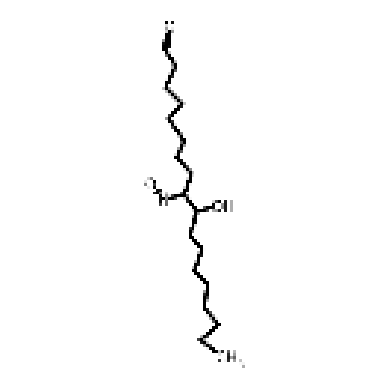 CCCCCCCCC(O)C(CCCCCCCC=O)N=O